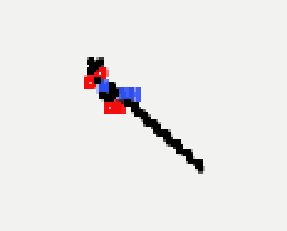 CCCCCCCCCCCCCCCN[C@H]1CN(C(=O)OC(C)(C)C)C[C@@H]1O